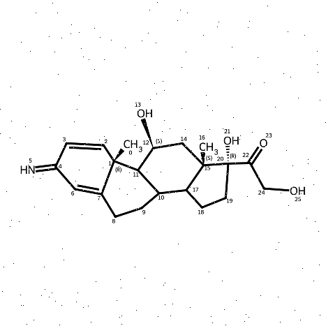 C[C@]12C=CC(=N)C=C1CCC1C2[C@@H](O)C[C@@]2(C)C1CC[C@]2(O)C(=O)CO